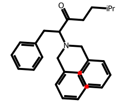 CC(C)CCC(=O)C(Cc1ccccc1)N(Cc1ccccc1)Cc1ccccc1